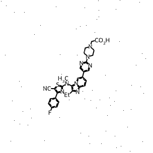 CCc1nc2ccc(-c3cnc(N4CCN(CC(=O)O)CC4)nc3)cn2c1N(C)c1nc(-c2ccc(F)cc2)c(C#N)s1